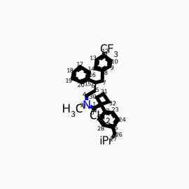 C=C(N(C)CC[C@H](Cc1ccc(C(F)(F)F)cc1)c1ccccc1)C1(c2ccc(CC(C)C)cc2)CCC1